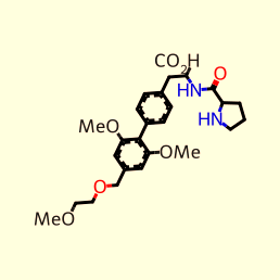 COCCOCc1cc(OC)c(-c2ccc(CC(NC(=O)C3CCCN3)C(=O)O)cc2)c(OC)c1